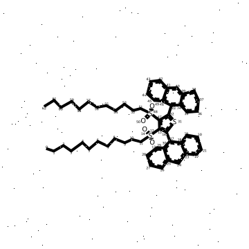 CCCCCCCCCCCCS(=O)(=O)c1c(-c2c3ccccc3cc3ccccc23)sc(-c2c3ccccc3cc3ccccc23)c1S(=O)(=O)CCCCCCCCCCCC